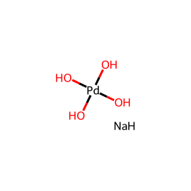 [NaH].[OH][Pd]([OH])([OH])[OH]